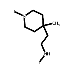 CC1(CCNI)CCN(I)CC1